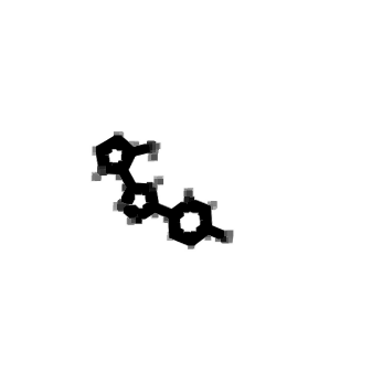 Clc1ccc(-c2noc(-c3occc3Br)n2)nc1